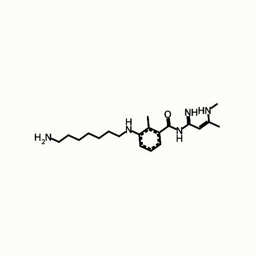 CN/C(C)=C\C(=N)NC(=O)c1cccc(NCCCCCCCN)c1C